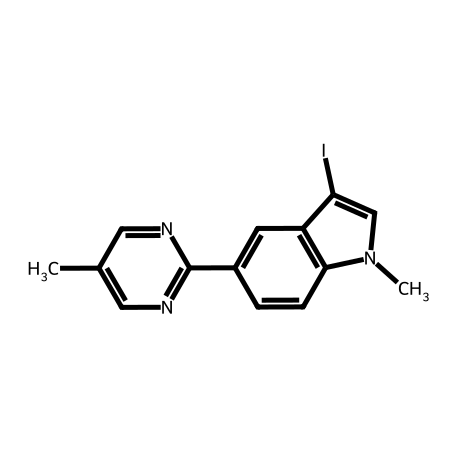 Cc1cnc(-c2ccc3c(c2)c(I)cn3C)nc1